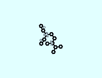 C1=CCC(c2nc(-c3cccc(-c4cccc(-c5nc(-c6ccc7c(c6)oc6ccccc67)nc(-c6ccc7c(c6)oc6ccccc67)n5)c4)c3)cc(-c3cc(-c4ccccc4)cc(-c4ccccc4)c3)n2)C=C1